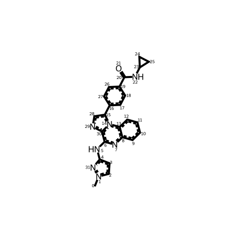 Cn1ccc(Nc2nc3ccccc3n3c(-c4ccc(C(=O)NC5CC5)cc4)cnc23)n1